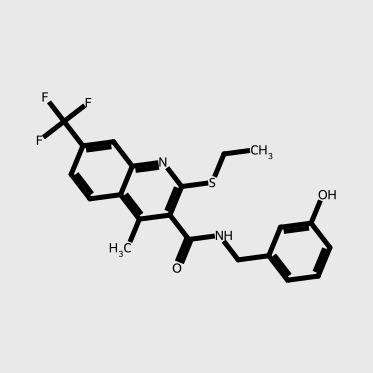 CCSc1nc2cc(C(F)(F)F)ccc2c(C)c1C(=O)NCc1cccc(O)c1